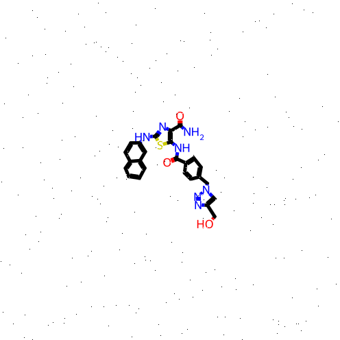 NC(=O)c1nc(Nc2ccc3ccccc3c2)sc1NC(=O)c1ccc(Cn2cc(CO)nn2)cc1